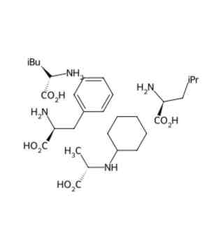 CC(C)C[C@H](N)C(=O)O.CC[C@H](C)[C@H](N)C(=O)O.C[C@H](NC1CCCCC1)C(=O)O.N[C@@H](Cc1ccccc1)C(=O)O